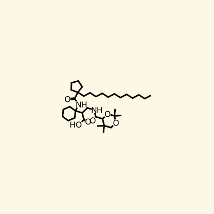 CCCCCCCCCCCCC1(C(=O)NC2(C(CNC(=O)C3OC(C)(C)OCC3(C)C)C(=O)O)CCCCC2)CCCC1